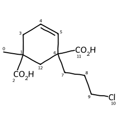 CC1(C(=O)O)CC=CC(CCCCl)(C(=O)O)C1